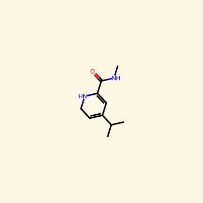 CNC(=O)C1=CC(C(C)C)=CCN1